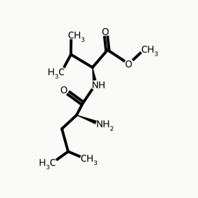 COC(=O)[C@@H](NC(=O)[C@@H](N)CC(C)C)C(C)C